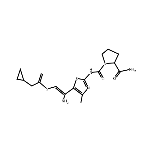 C=C(CC1CC1)S/C=C(\N)c1sc(NC(=O)N2CCCC2C(N)=O)nc1C